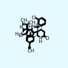 C#Cc1ccc(Oc2c(C)nn(C)c2C)c([C@H]2NC(=O)C[C@@H](c3cccc(Cl)c3)[C@]23C(=O)Nc2cc(Cl)ccc23)c1